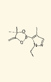 C=C1OB(c2c(C)cnn2CC)OC1(C)C